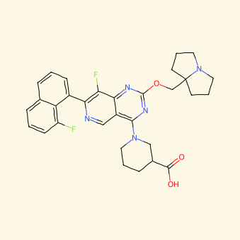 O=C(O)C1CCCN(c2nc(OCC34CCCN3CCC4)nc3c(F)c(-c4cccc5cccc(F)c45)ncc23)C1